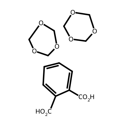 C1OCOCO1.C1OCOCO1.O=C(O)c1ccccc1C(=O)O